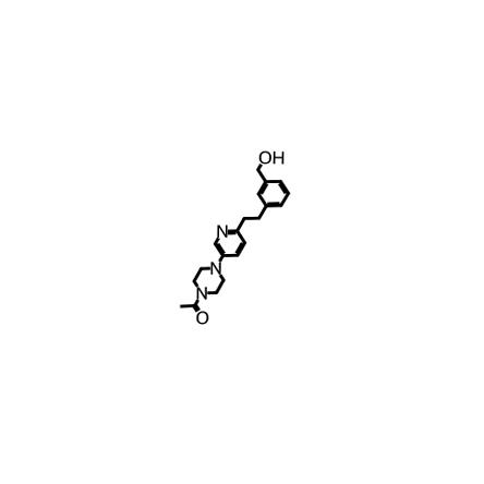 CC(=O)N1CCN(c2ccc(CCc3cccc(CO)c3)nc2)CC1